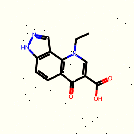 CCn1cc(C(=O)O)c(=O)c2ccc3[nH]ncc3c21